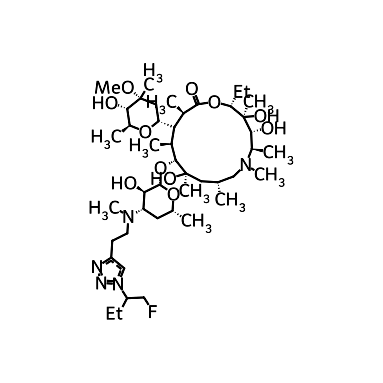 CCC(CF)n1cc(CCN(C)[C@H]2C[C@@H](C)O[C@@H](O[C@@H]3[C@@H](C)C([C@H]4C[C@@](C)(OC)[C@@H](O)[C@H](C)O4)[C@@H](C)C(=O)O[C@H](CC)[C@@](C)(O)[C@H](O)[C@@H](C)N(C)C[C@H](C)C[C@@]3(C)O)[C@@H]2O)nn1